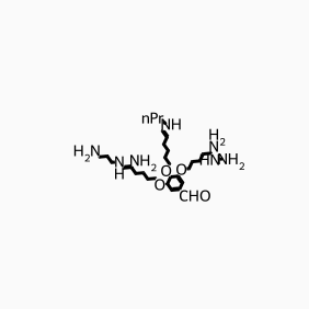 CCCN/C=C/CCCCOC1C(OCCCC[C@@H](N)NN)=CC(C=O)=C[C@@H]1OCCCC/C(N)=C/NCCCN